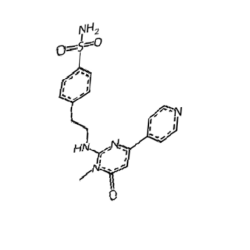 Cn1c(NCCc2ccc(S(N)(=O)=O)cc2)nc(-c2ccncc2)cc1=O